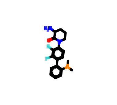 CP(C)c1ccccc1-c1ccc(N2CCCC(N)C2=O)c(F)c1F